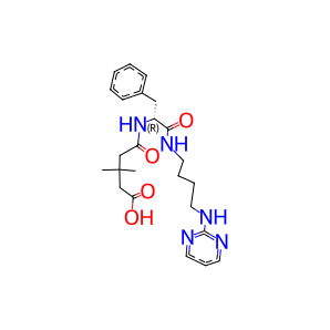 CC(C)(CC(=O)O)CC(=O)N[C@H](Cc1ccccc1)C(=O)NCCCCNc1ncccn1